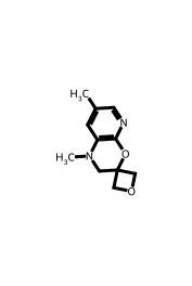 Cc1cnc2c(c1)N(C)CC1(COC1)O2